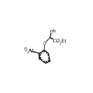 CCCC(Oc1ccccc1[N+](=O)[O-])C(=O)OCC